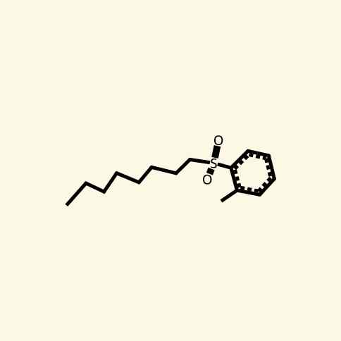 CCCCCCCCS(=O)(=O)c1ccccc1C